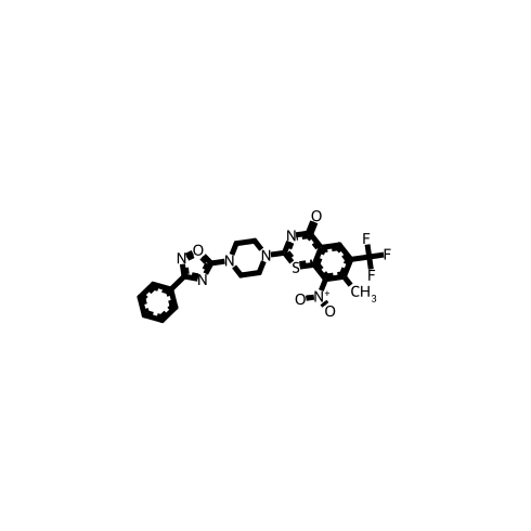 Cc1c(C(F)(F)F)cc2c(=O)nc(N3CCN(c4nc(-c5ccccc5)no4)CC3)sc2c1[N+](=O)[O-]